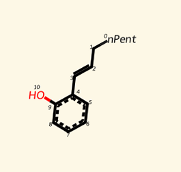 CCCCCCC=Cc1ccccc1O